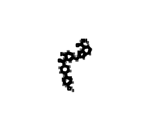 NC(=O)c1cccc2cn(Cc3ccc(F)c(C(=O)N4CCN(c5ncc(C(F)(F)F)cn5)CC4)c3)nc12